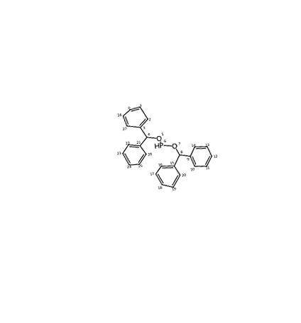 c1ccc(C(OPOC(c2ccccc2)c2ccccc2)c2ccccc2)cc1